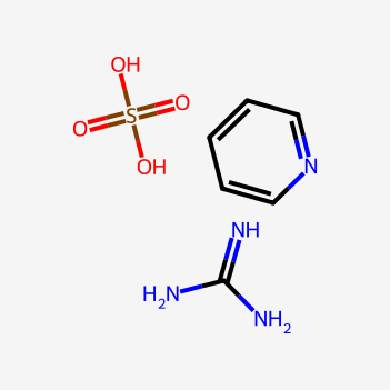 N=C(N)N.O=S(=O)(O)O.c1ccncc1